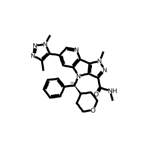 CNC(=O)c1nn(C)c2c3ncc(-c4c(C)nnn4C)cc3n([C@H](c3ccccc3)C3CCOCC3)c12